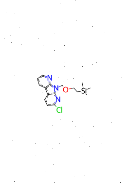 C[Si](C)(C)CCOCn1c2ncccc2c2ccc(Cl)nc21